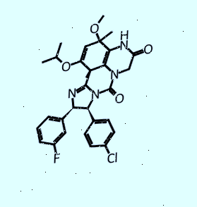 COC1(C)C=C(OC(C)C)C2(C)C3=N[C@H](c4cccc(F)c4)[C@H](c4ccc(Cl)cc4)N3C(=O)N3CC(=O)NC1=C32